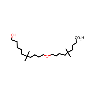 CC(C)(CCCCCO)CCCCOCCCCC(C)(C)CCCC(=O)O